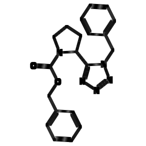 O=C(OCc1ccccc1)N1CCCC1c1nnnn1Cc1ccccc1